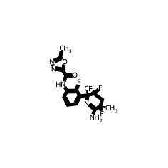 Cc1nnc(C(=O)Nc2cccc([C@@]3(C)N=C(N)[C@@](C)(F)CC3(F)F)c2F)o1